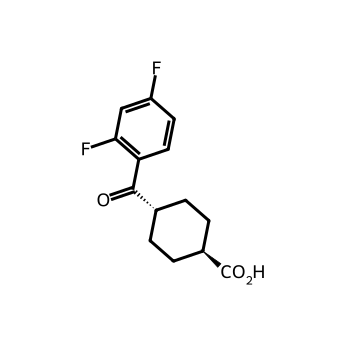 O=C(O)[C@H]1CC[C@H](C(=O)c2ccc(F)cc2F)CC1